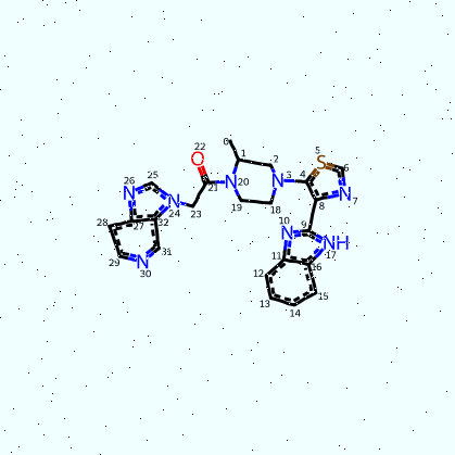 CC1CN(c2scnc2-c2nc3ccccc3[nH]2)CCN1C(=O)Cn1cnc2ccncc21